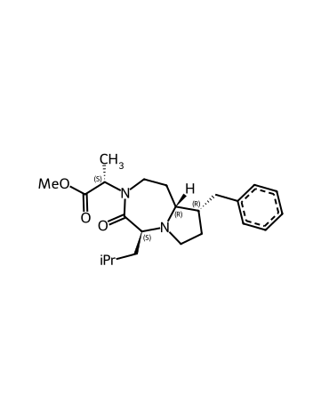 COC(=O)[C@H](C)N1CC[C@@H]2[C@H](Cc3ccccc3)CCN2[C@@H](CC(C)C)C1=O